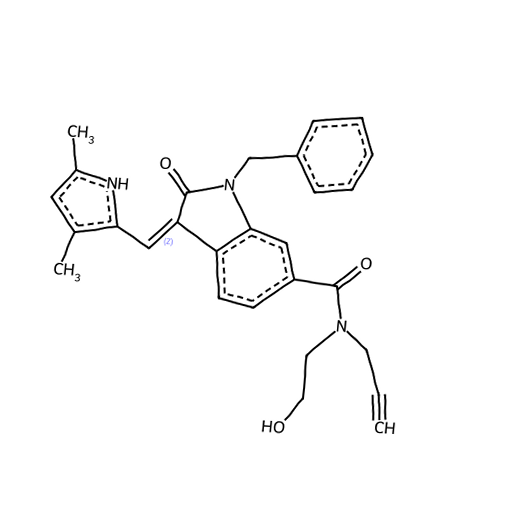 C#CCN(CCO)C(=O)c1ccc2c(c1)N(Cc1ccccc1)C(=O)/C2=C\c1[nH]c(C)cc1C